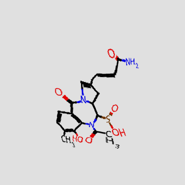 CC(=O)N1c2c(ccc(C)c2O)C(=O)N2C=C(/C=C/C(N)=O)CC2C1S(=O)O